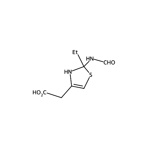 CCC1(NC=O)NC(CC(=O)O)=CS1